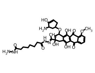 COc1cccc2c1C(=O)c1c(O)c3c(c(O)c1C2=O)CC(O)(/C(C)=N/NC(=O)CCCCCCC(=O)NN)CC3OC1CC=C(O)C(N)C1